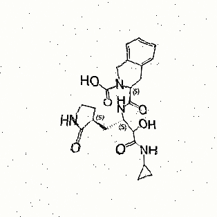 O=C(NC1CC1)C(O)[C@H](C[C@@H]1CCNC1=O)NC(=O)[C@@H]1Cc2ccccc2CN1C(=O)O